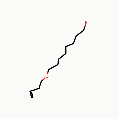 C=CCCOCCCCCCCCBr